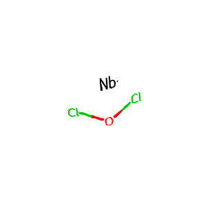 ClOCl.[Nb]